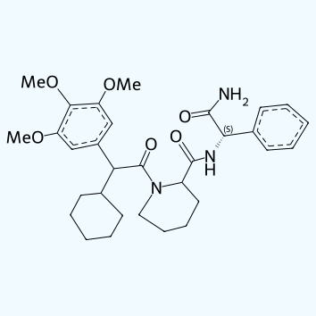 COc1cc(C(C(=O)N2CCCCC2C(=O)N[C@H](C(N)=O)c2ccccc2)C2CCCCC2)cc(OC)c1OC